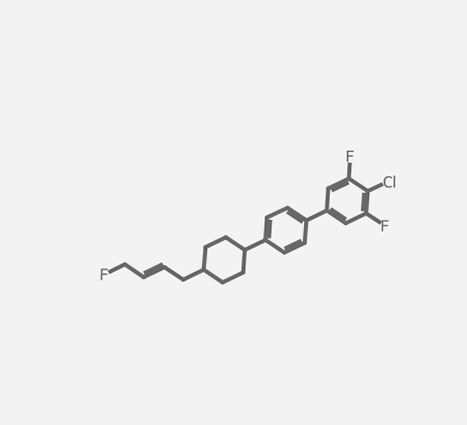 FC/C=C/CC1CCC(c2ccc(-c3cc(F)c(Cl)c(F)c3)cc2)CC1